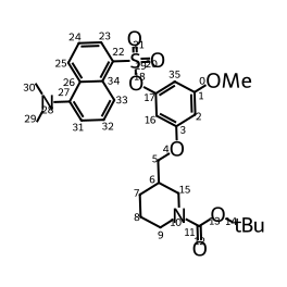 COc1cc(OCC2CCCN(C(=O)OC(C)(C)C)C2)cc(OS(=O)(=O)c2cccc3c(N(C)C)cccc23)c1